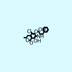 CC1Cc2c(Cl)cc(NC(Cc3ccccc3)C(=O)O)c(O)c2C(=O)O1